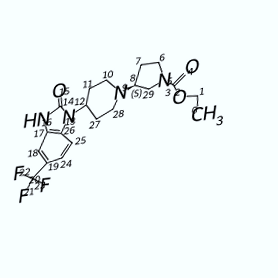 CCOC(=O)N1CC[C@H](N2CCC(n3c(=O)[nH]c4cc(C(F)(F)F)ccc43)CC2)C1